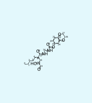 CCCCC[C@H](CN(O)C=O)C(=O)NCNC(=O)Oc1ccc2c(c1)OCCO2